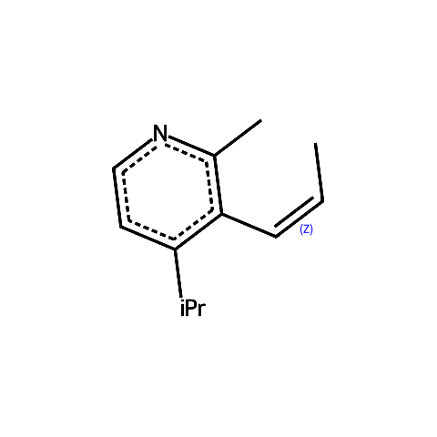 C/C=C\c1c(C(C)C)ccnc1C